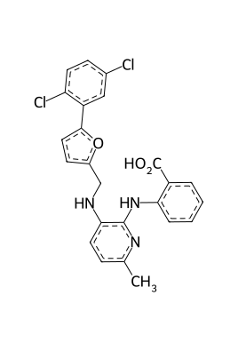 Cc1ccc(NCc2ccc(-c3cc(Cl)ccc3Cl)o2)c(Nc2ccccc2C(=O)O)n1